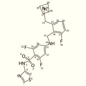 O=S(=O)(Nc1cscn1)c1c(F)cc(NCc2c(F)cccc2CN2C=C3CC2C3)cc1F